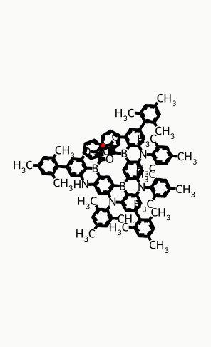 Cc1cc(C)c(-c2cc3c4c(c2)Oc2c(oc5ccccc25)B4c2cc4c(cc2N3)N(c2c(C)cc(C)cc2C)c2cc(-c3c(C)cc(C)cc3C)cc3c2B4c2cc4c(cc2N3c2c(C)cc(C)cc2C)N(c2c(C)cc(C)cc2C)c2cc(-c3c(C)cc(C)cc3C)cc3c2B4c2oc4ccccc4c2O3)c(C)c1